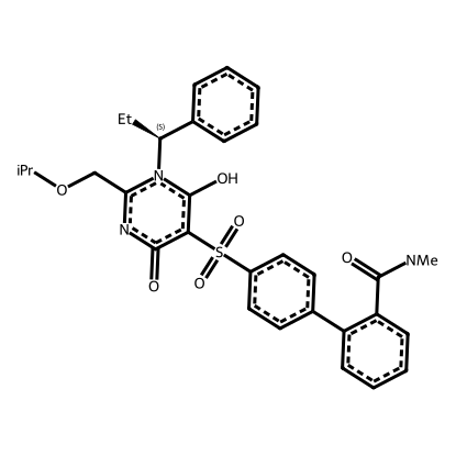 CC[C@@H](c1ccccc1)n1c(COC(C)C)nc(=O)c(S(=O)(=O)c2ccc(-c3ccccc3C(=O)NC)cc2)c1O